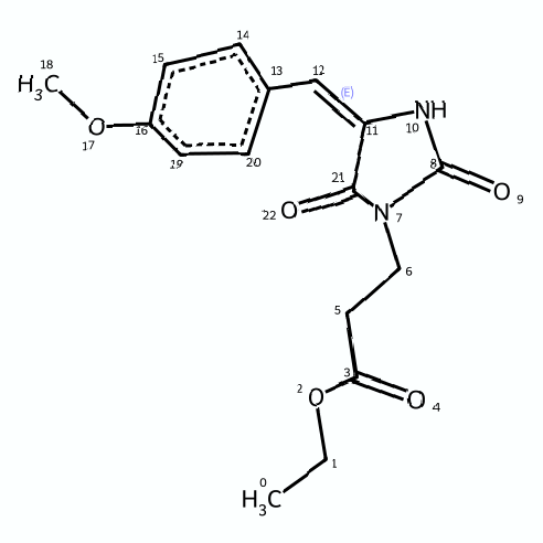 CCOC(=O)CCN1C(=O)N/C(=C/c2ccc(OC)cc2)C1=O